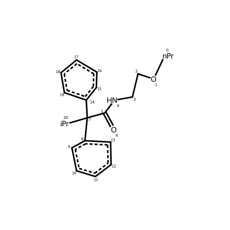 CCCOCCNC(=O)C(c1ccccc1)(c1ccccc1)C(C)C